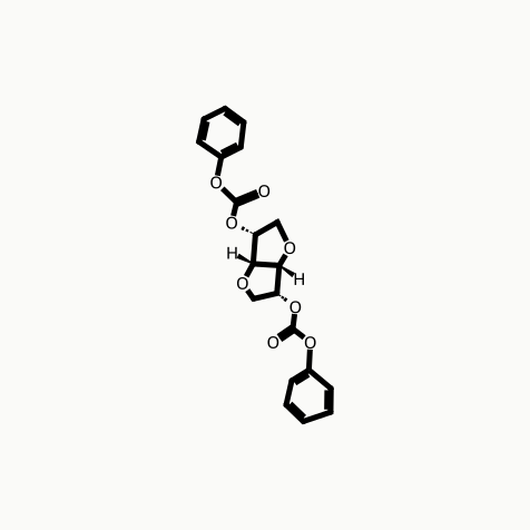 O=C(Oc1ccccc1)O[C@@H]1CO[C@H]2[C@@H]1OC[C@H]2OC(=O)Oc1ccccc1